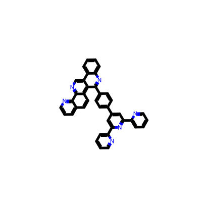 c1ccc(-c2cc(-c3ccc(-c4nc5ccccc5c5cnc6c(ccc7cccnc76)c45)cc3)cc(-c3ccccn3)n2)nc1